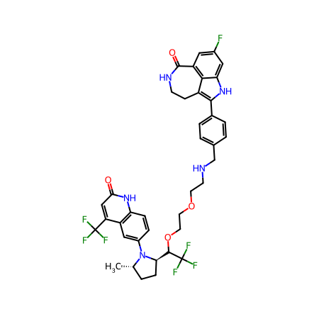 C[C@H]1CC[C@H](C(OCCOCCNCc2ccc(-c3[nH]c4cc(F)cc5c4c3CCNC5=O)cc2)C(F)(F)F)N1c1ccc2[nH]c(=O)cc(C(F)(F)F)c2c1